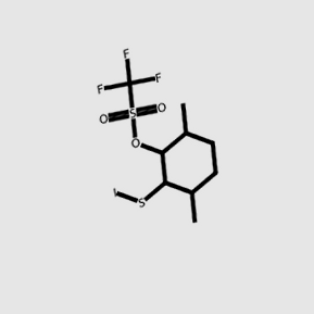 CC1CCC(C)C(SI)C1OS(=O)(=O)C(F)(F)F